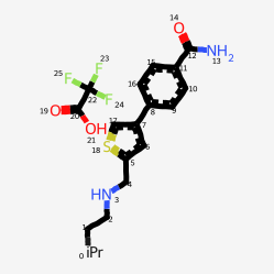 CC(C)CCNCc1cc(-c2ccc(C(N)=O)cc2)cs1.O=C(O)C(F)(F)F